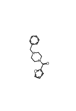 O=C(c1ccco1)N1CCN(Cc2ccccc2)CC1